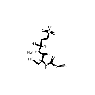 [2H]C([2H])(CCS(=O)(=O)[O-])NC(=O)[C@H](CO)NC(=O)OC(C)(C)C.[Na+]